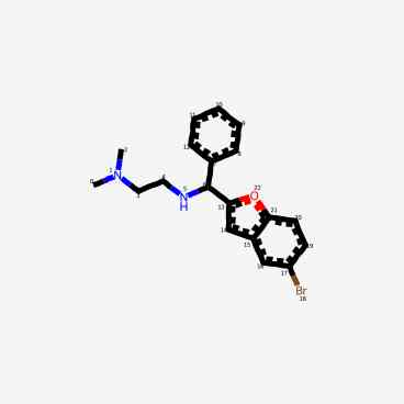 CN(C)CCNC(c1ccccc1)c1cc2cc(Br)ccc2o1